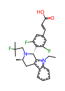 CCn1c2c(c3ccccc31)C[C@@H](C)N(CC(C)(C)F)[C@@H]2c1c(F)cc(/C=C/C(=O)O)cc1F